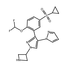 O=S(=O)(c1ccc(OC(F)F)c(-c2nn(C3CNC3)cc2-n2cccn2)c1)C1CC1